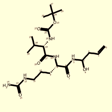 C=CCC(O)NC(=O)[C@H](CCCNC(N)=O)NC(=O)[C@@H](NC(=O)OC(C)(C)C)C(C)C